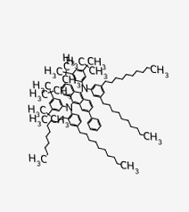 CCCCCCCCCCc1cc(CCCCCCCCCC)cc(N(c2cc(C(C)(C)C)cc(C(C)(C)C)c2)c2c3ccccc3c(N(c3cc(C(C)(C)C)cc(C(C)(C)C)c3)c3ccc(CCCCCCCCCC)cc3CCCCCCCCCC)c3cc(-c4ccccc4)ccc23)c1